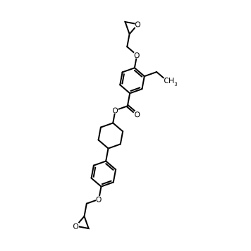 CCc1cc(C(=O)OC2CCC(c3ccc(OCC4CO4)cc3)CC2)ccc1OCC1CO1